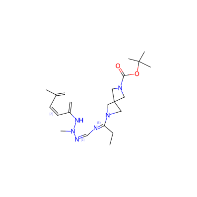 C=C(C)/C=C\C(=C)NN(C)/N=C\N=C(/CC)N1CC2(CN(C(=O)OC(C)(C)C)C2)C1